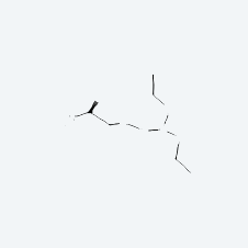 CCOP(OCC)SSCC(N)=O